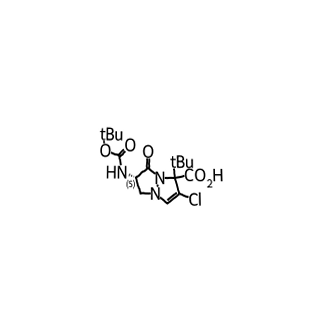 CC(C)(C)OC(=O)N[C@H]1CN2C=C(Cl)C(C(=O)O)(C(C)(C)C)N2C1=O